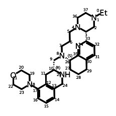 CCN1CCN(CCCN(C[C@H]2Cc3c(cccc3N3CCOCC3)CN2)[C@H]2CCCc3cccnc32)CC1